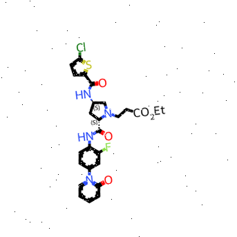 CCOC(=O)CCN1C[C@@H](NC(=O)c2ccc(Cl)s2)C[C@H]1C(=O)Nc1ccc(-n2ccccc2=O)cc1F